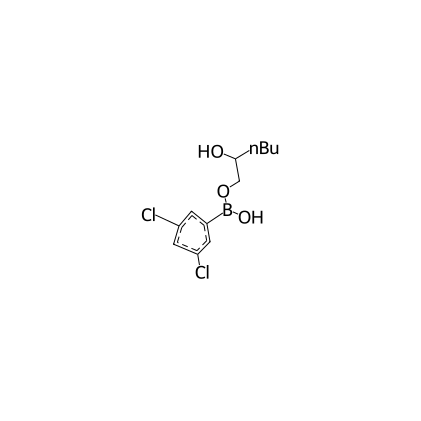 CCCCC(O)COB(O)c1cc(Cl)cc(Cl)c1